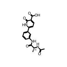 CC(=O)N[C@@H](C)C(=O)Nc1cccc(-c2ccc(C(=O)O)c(=O)[nH]2)c1